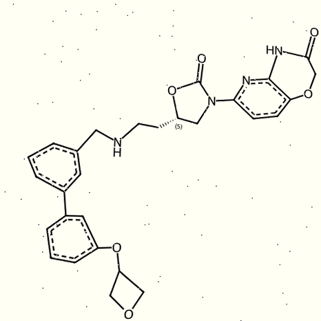 O=C1COc2ccc(N3C[C@H](CCNCc4cccc(-c5cccc(OC6COC6)c5)c4)OC3=O)nc2N1